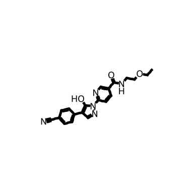 CCOCCNC(=O)c1ccc(-n2ncc(-c3ccc(C#N)cc3)c2O)nc1